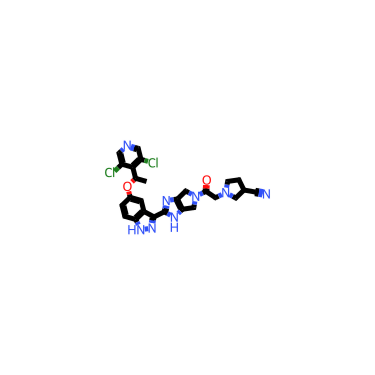 CC(Oc1ccc2[nH]nc(-c3nc4c([nH]3)CN(C(=O)CN3CCC(C#N)C3)C4)c2c1)c1c(Cl)cncc1Cl